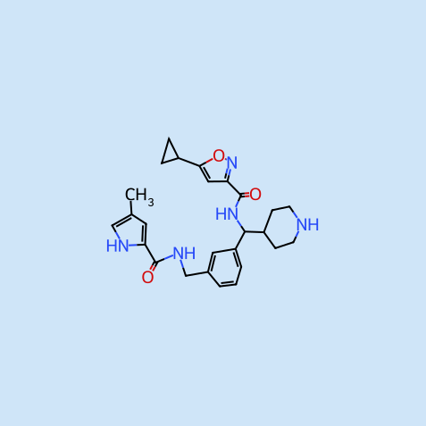 Cc1c[nH]c(C(=O)NCc2cccc(C(NC(=O)c3cc(C4CC4)on3)C3CCNCC3)c2)c1